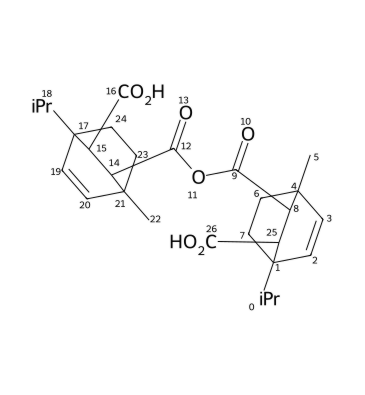 CC(C)C12C=CC(C)(CC1)C(C(=O)OC(=O)C1C(C(=O)O)C3(C(C)C)C=CC1(C)CC3)C2C(=O)O